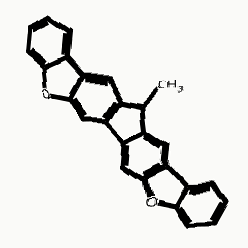 CC1c2cc3c(cc2-c2cc4oc5ccccc5c4cc21)oc1ccccc13